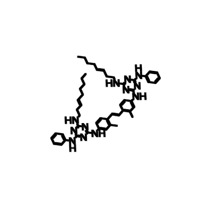 CCCC/C=C/CCNc1nc(Nc2ccccc2)nc(Nc2ccc(C=Cc3ccc(Nc4nc(NCC/C=C/CCCCC)nc(Nc5ccccc5)n4)cc3C)c(C)c2)n1